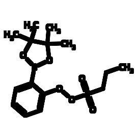 CCCS(=O)(=O)OOc1ccccc1B1OC(C)(C)C(C)(C)O1